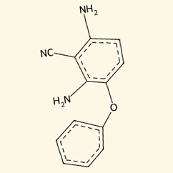 N#Cc1c(N)ccc(Oc2ccccc2)c1N